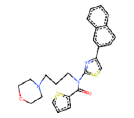 O=C(c1cccs1)N(CCCN1CCOCC1)c1nc(-c2ccc3ccccc3c2)cs1